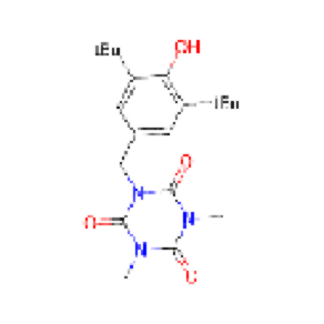 Cn1c(=O)n(C)c(=O)n(Cc2cc(C(C)(C)C)c(O)c(C(C)(C)C)c2)c1=O